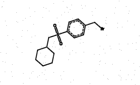 O=S(=O)(CC1CCCCC1)c1ccc(CBr)cc1